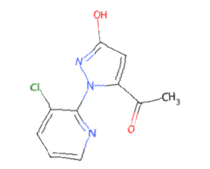 CC(=O)c1cc(O)nn1-c1ncccc1Cl